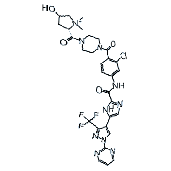 C[N+]1(C)C[C@H](O)C[C@H]1C(=O)N1CCN(C(=O)c2ccc(NC(=O)c3ncc(-c4cn(-c5ncccn5)nc4C(F)(F)F)[nH]3)cc2Cl)CC1